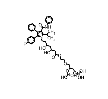 CC(C)c1c(C(=O)Nc2ccccc2)c(-c2ccccc2)c(-c2ccc(F)cc2)n1CCC(O)CC(O)CC(=O)OCCOCC(CON(O)O)ON(O)O